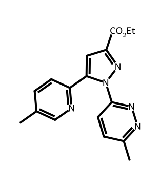 CCOC(=O)c1cc(-c2ccc(C)cn2)n(-c2ccc(C)nn2)n1